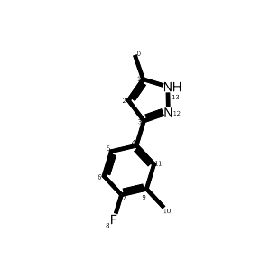 Cc1cc(-c2ccc(F)c(C)c2)n[nH]1